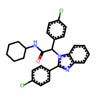 O=C(NC1CCCCC1)C(c1ccc(Cl)cc1)n1c(-c2ccc(Cl)cc2)nc2ccccc21